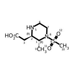 C[C@@H]1[C@@H](CC(=O)O)NCCN1S(C)(=O)=O